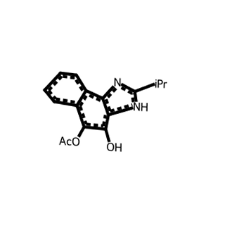 CC(=O)Oc1c(O)c2[nH]c(C(C)C)nc2c2ccccc12